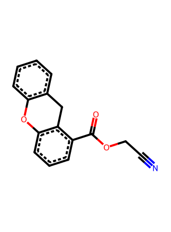 N#CCOC(=O)c1cccc2c1Cc1ccccc1O2